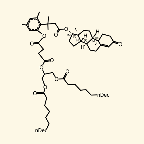 CCCCCCCCCCCCCCCC(=O)OCC(COC(=O)CCCCCCCCCCCCCCC)OC(=O)CCC(=O)Oc1cc(C)cc(C)c1C(C)(C)CC(=O)O[C@H]1CC[C@H]2[C@@H]3CCC4=CC(=O)CC[C@]4(C)[C@H]3CC[C@]12C